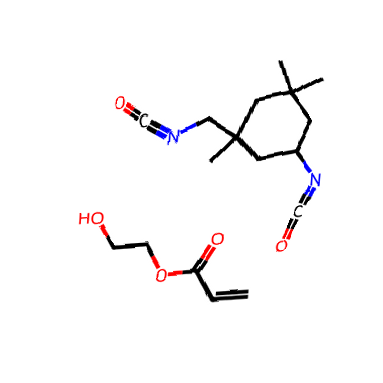 C=CC(=O)OCCO.CC1(C)CC(N=C=O)CC(C)(CN=C=O)C1